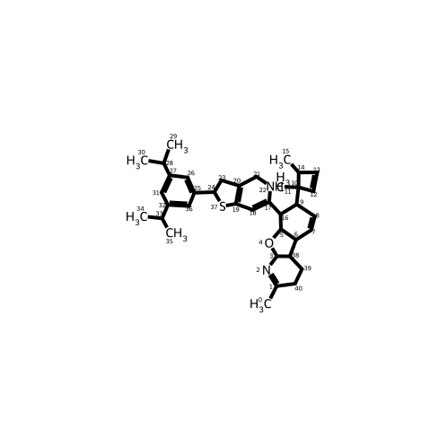 CC1=NC2OC3C(C=CC(C4(C)C=CC4C)C3C3=CC4=C(CN3)CC(c3cc(C(C)C)cc(C(C)C)c3)S4)C2CC1